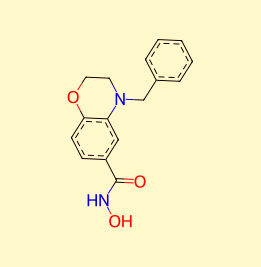 O=C(NO)c1ccc2c(c1)N(Cc1ccccc1)CCO2